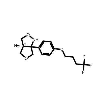 FC(F)(F)CCCOc1ccc(C23COC[C@H]2CON3)cc1